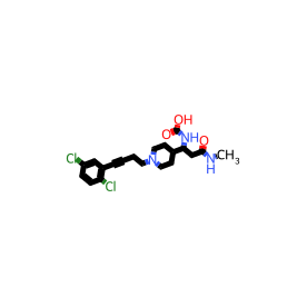 CNC(=O)CC(NC(=O)O)C1CCN(CCC#Cc2cc(Cl)ccc2Cl)CC1